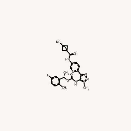 Cc1ccc(F)cc1[C@@H](C)OC(=O)Nc1c(-c2ccc(NC(=O)C34CC(C#N)(C3)C4)cn2)nnn1C